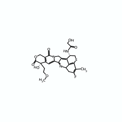 COCC[C@@]1(O)C(=O)OCc2c1cc1n(c2=O)CC2=C3C4=C(SC[C@H]3NC(=O)CO)C(C)=C(F)CC4N=C21